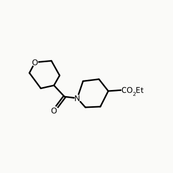 CCOC(=O)C1CCN(C(=O)C2CCOCC2)CC1